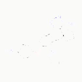 CCOC(=O)CNc1c(OC2CCC(N)CC2)ccc2c1CC1(CCCC1)c1c(N)ncnc1-2